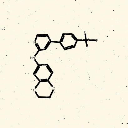 FC(F)(F)c1ccc(-c2ccnc(Nc3ccc4c(c3)OCCO4)c2)cc1